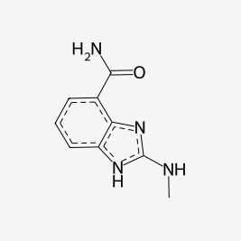 CNc1nc2c(C(N)=O)cccc2[nH]1